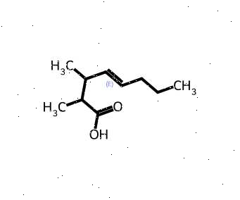 CCC/C=C/C(C)C(C)C(=O)O